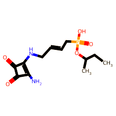 CCC(C)OP(=O)(O)CC=CCNc1c(N)c(=O)c1=O